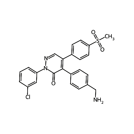 CS(=O)(=O)c1ccc(-c2cnn(-c3cccc(Cl)c3)c(=O)c2-c2ccc(CN)cc2)cc1